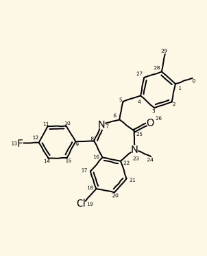 Cc1ccc(CC2N=C(c3ccc(F)cc3)c3cc(Cl)ccc3N(C)C2=O)cc1C